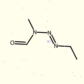 CC/N=N/N(C)C=O